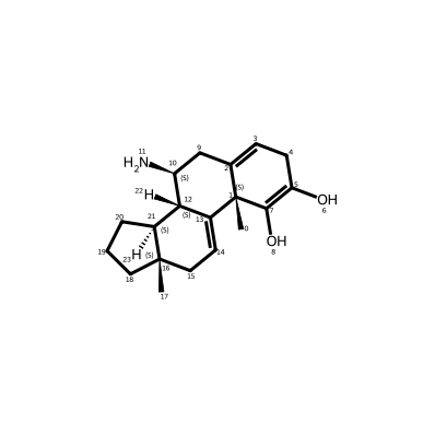 C[C@@]12C(=CCC(O)=C1O)C[C@H](N)[C@@H]1C2=CC[C@]2(C)CCC[C@@H]12